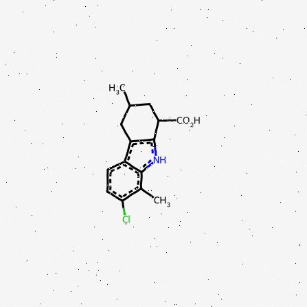 Cc1c(Cl)ccc2c3c([nH]c12)C(C(=O)O)CC(C)C3